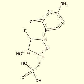 Nc1ccn([C@@H]2O[C@H](CP(=O)(O)O)[C@H](O)C2F)c(=O)n1